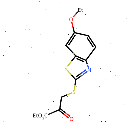 CCOC(=O)C(=O)CSc1nc2ccc(OCC)cc2s1